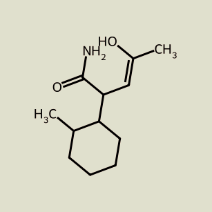 CC(O)=CC(C(N)=O)C1CCCCC1C